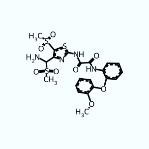 COc1ccccc1Oc1ccccc1NC(=O)C(=O)Nc1nc(C(N)S(C)(=O)=O)c(S(C)(=O)=O)s1